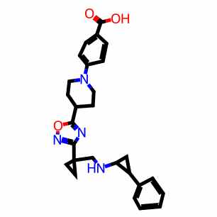 O=C(O)c1ccc(N2CCC(c3nc(C4(CNC5CC5c5ccccc5)CC4)no3)CC2)cc1